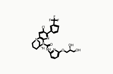 O=C(Nc1cccc(OC[C@@H](O)CO)n1)N1c2nc(-c3cccc(C(F)(F)F)c3)c(Cl)cc2N2CCC[C@H]1C2